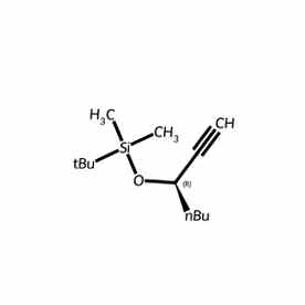 C#C[C@@H](CCCC)O[Si](C)(C)C(C)(C)C